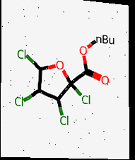 CCCCOC(=O)C1(Cl)OC(Cl)C(Cl)C1Cl